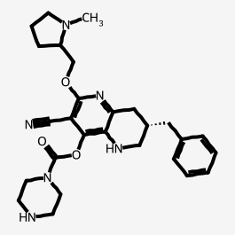 CN1CCCC1COc1nc2c(c(OC(=O)N3CCNCC3)c1C#N)NC[C@@H](Cc1ccccc1)C2